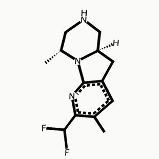 Cc1cc2c(nc1C(F)F)N1[C@@H](CNC[C@H]1C)C2